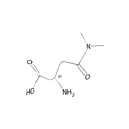 CN(C)C(=O)C[C@H](N)C(=O)O